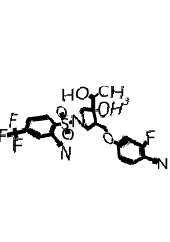 C[C@H](O)[C@]1(O)CN(S(=O)(=O)c2ccc(C(F)(F)F)cc2C#N)CC1COc1ccc(C#N)c(F)c1